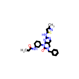 C=CC(=O)NC1CCCC(N2C(=O)N(Cc3ccccc3)Cc3cnc(Nc4cc(C)ns4)nc32)C1